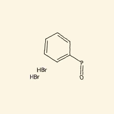 Br.Br.O=Pc1ccccc1